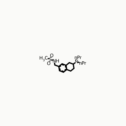 CCCN(CCC)C1CCc2ccc(CNS(C)(=O)=O)cc2C1